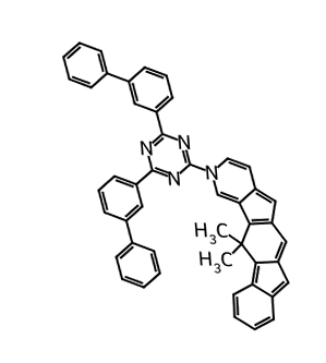 CC1(C)C2=c3ccccc3=CC2=Cc2cc3ccn(-c4nc(-c5cccc(-c6ccccc6)c5)nc(-c5cccc(-c6ccccc6)c5)n4)cc-3c21